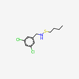 CCCCSNCc1cc(Cl)cc(Cl)c1